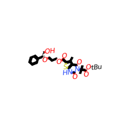 Cc1c(C(=O)OCCCO[C@@H](CO)c2ccccc2)sc2[nH]c(=O)n(C(C)(C)C(=O)OC(C)(C)C)c(=O)c12